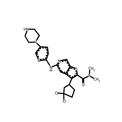 CN(C)C(=O)c1sc2cnc(Nc3ccc(N4CCNCC4)cn3)cc2c1C1CCC(Cl)(Cl)C1